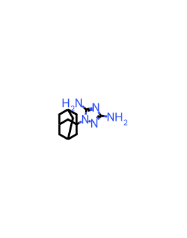 Nc1nc(N)n(C23CC4CC(CC(C4)C2)C3)n1